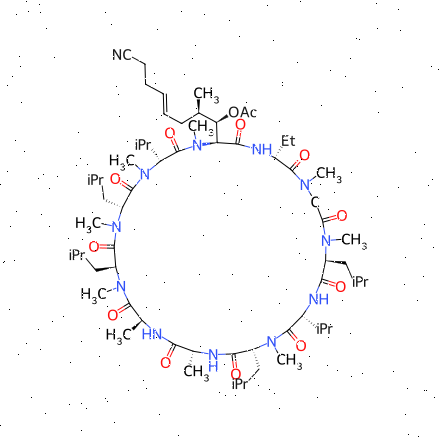 CC[C@H]1NC(=O)[C@H]([C@H](OC(C)=O)[C@H](C)C/C=C/CCC#N)N(C)C(=O)[C@@H](C(C)C)N(C)C(=O)[C@@H](CC(C)C)N(C)C(=O)[C@H](CC(C)C)N(C)C(=O)[C@H](C)NC(=O)[C@@H](C)NC(=O)[C@@H](CC(C)C)N(C)C(=O)[C@@H](C(C)C)NC(=O)[C@H](CC(C)C)N(C)C(=O)CN(C)C1=O